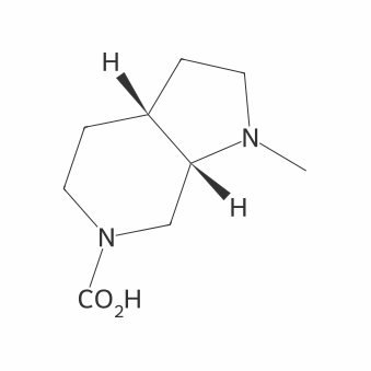 CN1CC[C@H]2CCN(C(=O)O)C[C@H]21